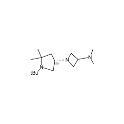 CN(C)C1CN([C@@H]2CN(C(C)(C)C)C(C)(C)C2)C1